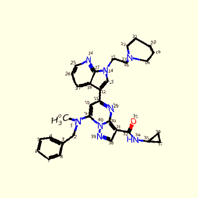 CN(Cc1ccccc1)c1cc(-c2cn(CCN3CCCCC3)c3ncccc23)nc2c(C(=O)NC3CC3)cnn12